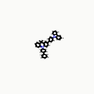 CC1(C)c2ccccc2N(c2ccc(-c3ccccc3)cc2)c2ccc(-c3ccc(N4c5ccccc5C5C=CC=CC54)cc3)cc21